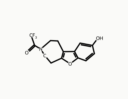 O=C(N1CCc2oc3ccc(O)cc3c2CC1)C(F)(F)F